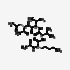 CC(=O)N[C@@H](CCCCN)C(=O)N[C@H](C(=O)N[C@H](C(=O)N[C@@H](CC(N)=O)C(N)=O)C(C)C)C(C)C